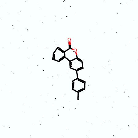 Cc1ccc(-c2ccc3oc(=O)c4ccccc4c3c2)cc1